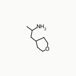 CC(N)CC1CCOCC1